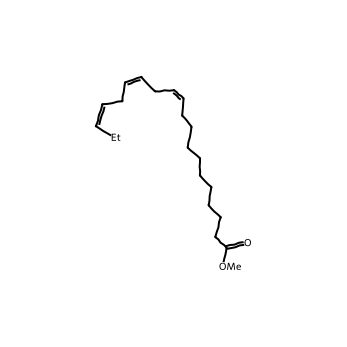 CC/C=C\C/C=C\C/C=C\CCCCCCCCCC(=O)OC